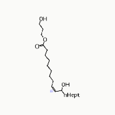 CCCCCCCC(O)/C=C\CCCCCCCC(=O)OCCCO